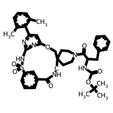 Cc1cccc(C)c1-c1cc2nc(n1)NS(=O)(=O)c1cccc(c1)C(=O)NCC1(CCN(C(=O)C(Cc3ccccc3)NC(=O)OC(C)(C)C)CC1)CO2